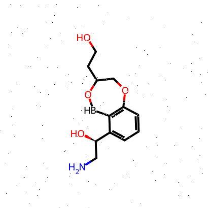 NC[C@@H](O)c1cccc2c1BOC(CCO)CO2